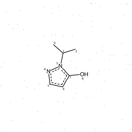 CC(C)n1nccc1O